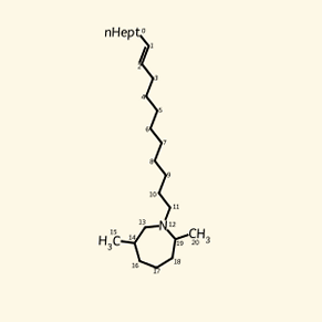 CCCCCCCC=CCCCCCCCCCN1CC(C)CCCC1C